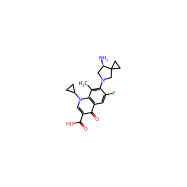 Cc1c(N2C[C@@H](N)C3(CC3)C2)c(F)cc2c(=O)c(C(=O)O)cn(C3CC3)c12